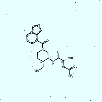 CC(C)(C)C[C@@H]1CCN(C(=O)c2cccn3cncc23)C[C@H]1NC(=O)[C@@H](NC(=O)C(F)(F)F)C(C)(C)C